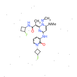 C=NN1C(NC)=CC(Nc2cccn([C@H]3C[C@H](F)C3)c2=O)=N/C1=C(/C)C(=O)NC1CC[C@@H]1F